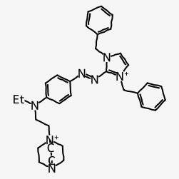 CCN(CC[N+]12CCN(CC1)CC2)c1ccc(N=Nc2n(Cc3ccccc3)cc[n+]2Cc2ccccc2)cc1